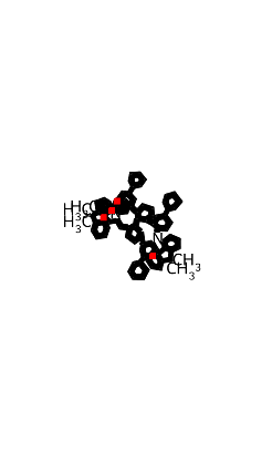 C/C=C(\C=C/c1cc2cccc3c4cc(-c5ccccc5)ccc4n(-c4cccc5c4-c4ccccc4C5(C)C)c4ccc(-c5ccccc5)cc4c4cccc(c5cc(-c6ccccc6)ccc5n1-c1cccc5c1-c1ccccc1C5(C)C)c4c23)c1ccccc1